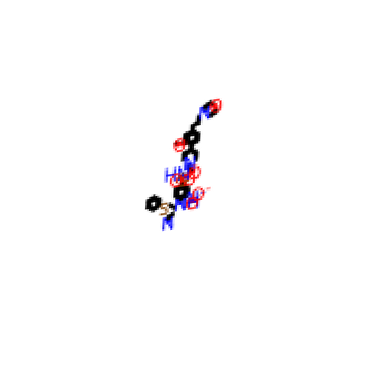 COc1cc(CCCN2CCOCC2)ccc1C1CCN(C(=O)NS(=O)(=O)c2ccc(N[C@H](CCN(C)C)CSc3ccccc3)c([N+](=O)[O-])c2)CC1